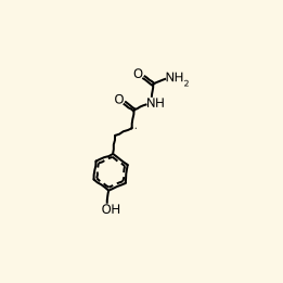 NC(=O)NC(=O)[CH]Cc1ccc(O)cc1